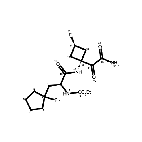 CCOC(=O)N[C@@H](CC1(F)CCCC1)C(=O)N[C@]1(C(=O)C(N)=O)C[C@@H](F)C1